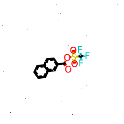 O=C(OS(=O)(=O)C(F)(F)F)c1ccc2ccccc2c1